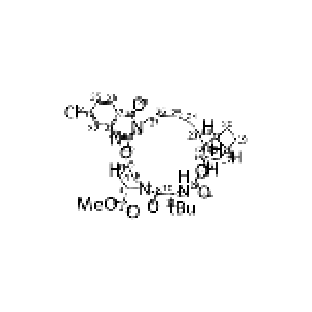 COC(=O)[C@@H]1C[C@@H]2CN1C(=O)[C@H](C(C)(C)C)NC(=O)O[C@@H]1C[C@@H]3CC[C@@H]3[C@H]1CCCCCn1c(nc3cc(Cl)ccc3c1=O)O2